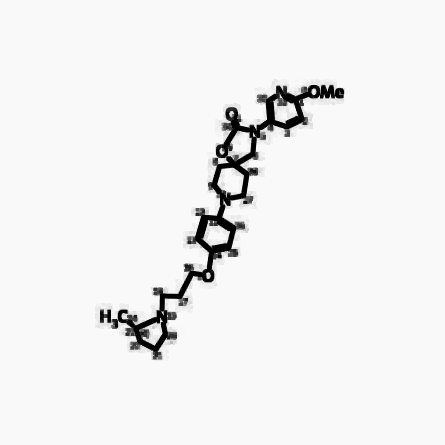 COc1ccc(N2CC3(CCN(c4ccc(OCCCN5CCC[C@H]5C)cc4)CC3)OC2=O)cn1